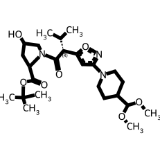 COC(OC)C1CCN(c2cc([C@H](C(=O)N3CC(O)CC3C(=O)OC(C)(C)C)C(C)C)on2)CC1